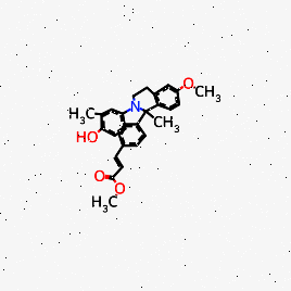 COC(=O)C=Cc1ccc(C2(C)c3ccc(OC)cc3CCN2c2ccc(O)c(C)c2)cc1